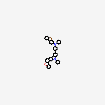 c1ccc(N(c2ccc(-c3ccc4c(c3)c3cc5ccc6oc7ccccc7c6c5cc3n4-c3ccccc3)cc2)c2ccc3c(c2)sc2ccccc23)cc1